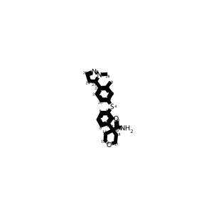 Cc1cc(Sc2cccc(C3(C(N)=O)CCOCC3)c2)ccc1C1CC=NN1C